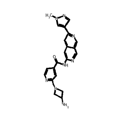 Cn1cc(-c2cc3cc(NC(=O)c4ccnc(N5CC(N)C5)c4)ncc3cn2)cn1